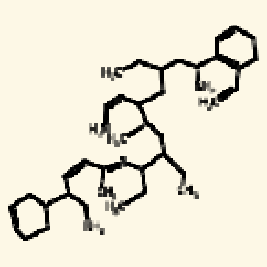 C=CC1=C([C@@H](N)CC(CC)CC(/C=C\N)[C@H](C)CC(CC)C(CC)/N=C(C)/C=C\C(CN)C2CC=CCC2)C=CCC1